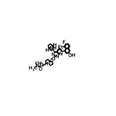 CCc1c(F)ccc2cc(O)cc(-c3ccc4c(N5C[C@H]6CC[C@@H](C5)N6)nc(OC[C@]56CCCN5[C@@H](COC(=O)N(C)C)CC6)nc4n3)c12